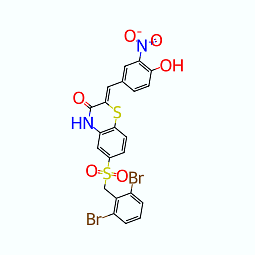 O=C1Nc2cc(S(=O)(=O)Cc3c(Br)cccc3Br)ccc2SC1=Cc1ccc(O)c([N+](=O)[O-])c1